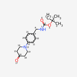 CC(C)(C)OC(=O)NCc1ccc(N2CCC(=O)CC2)cc1